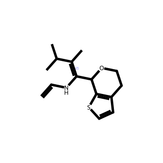 C=CN/C(=C(/C)C(C)C)C1OCCc2ccsc21